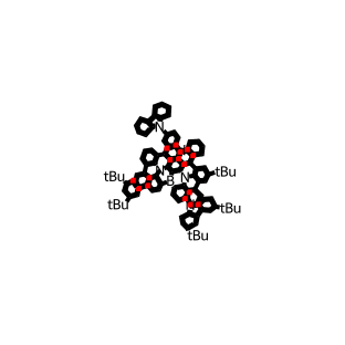 CC(C)(C)c1cc(-c2ccc3c(c2)N(c2c(-c4ccccc4)cccc2-c2ccccc2)c2cc(N(c4ccccc4)c4ccc(-n5c6ccccc6c6ccccc65)cc4)cc4c2B3c2ccc(-n3c5ccc(C(C)(C)C)cc5c5cc(C(C)(C)C)ccc53)cc2N4c2c(-c3ccccc3)cc(C(C)(C)C)cc2-c2ccccc2)cc(C(C)(C)C)c1